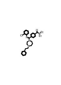 CCN(CC)C(=O)c1ccc(C(=Nc2ccccc2Cl)N2CCCN(CCc3ccccc3)CC2)cc1